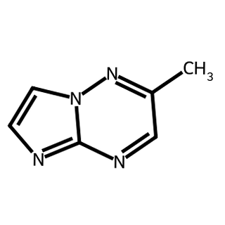 Cc1cnc2nccn2n1